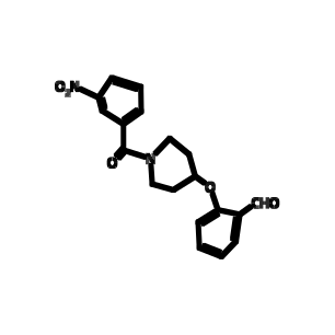 O=Cc1ccccc1OC1CCN(C(=O)c2cccc([N+](=O)[O-])c2)CC1